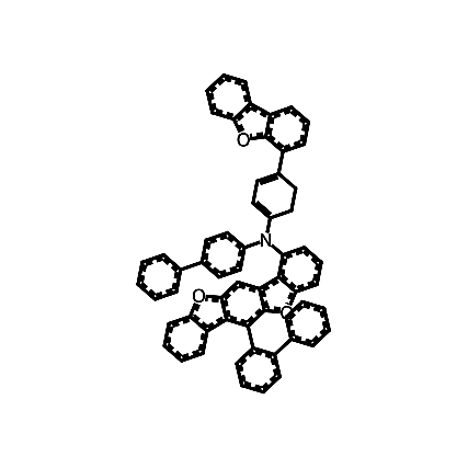 C1=C(c2cccc3c2oc2ccccc23)CCC(N(c2ccc(-c3ccccc3)cc2)c2cccc3oc4c(-c5ccccc5-c5ccccc5)c5c(cc4c23)oc2ccccc25)=C1